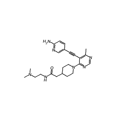 Cc1ncnc(N2CCC(CC(=O)NCCN(C)C)CC2)c1C#Cc1ccc(N)nc1